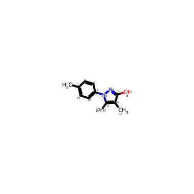 Cc1ccc(-n2nc(O)c(C)c2C(C)C)cc1